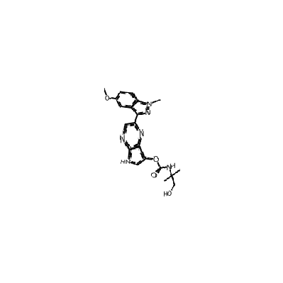 COc1ccc2c(c1)c(-c1cnc3[nH]cc(OC(=O)NC(C)(C)CO)c3n1)nn2C